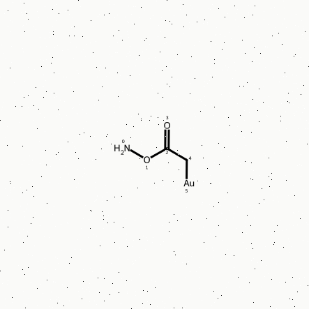 NOC(=O)[CH2][Au]